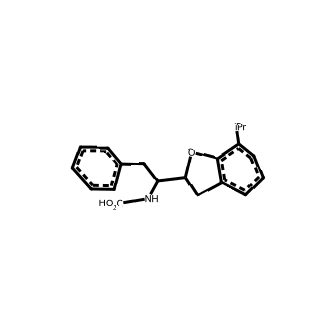 CC(C)c1cccc2c1OC(C(Cc1ccccc1)NC(=O)O)C2